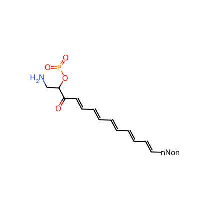 CCCCCCCCCC=CC=CC=CC=CC=CC(=O)C(CN)OP(=O)=O